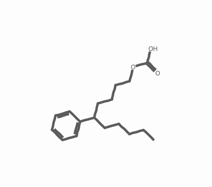 CCCCCC(CCCCOC(=O)O)c1ccccc1